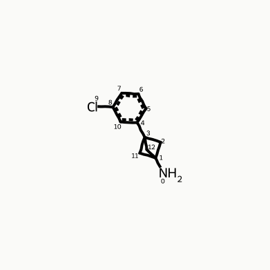 NC12CC(c3cccc(Cl)c3)(C1)C2